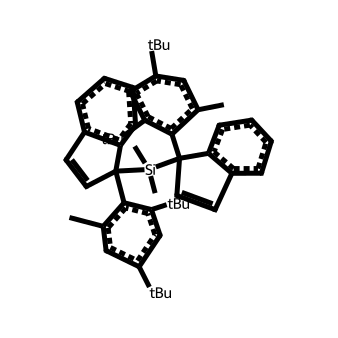 Cc1cc(C(C)(C)C)cc(C(C)(C)C)c1C1([Si](C)(C)C2(c3c(C)cc(C(C)(C)C)cc3C(C)(C)C)C=Cc3ccccc32)C=Cc2ccccc21